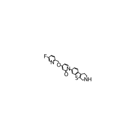 O=c1cc(OCc2ccc(F)cn2)ccn1-c1ccc2c3c(sc2c1)CNCC3